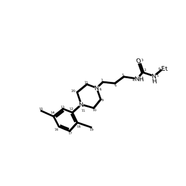 CCNC(=O)NCCCN1CCN(c2cc(C)ccc2C)CC1